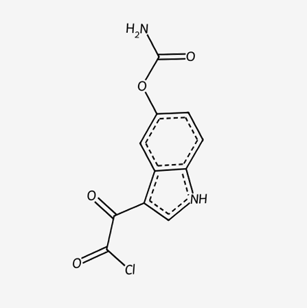 NC(=O)Oc1ccc2[nH]cc(C(=O)C(=O)Cl)c2c1